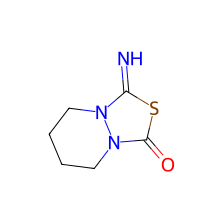 N=c1sc(=O)n2n1CCCC2